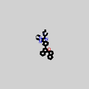 C=C/C=C\C(CC)c1nc2ccc(-c3cc4ccccc4c4c3oc3ccc5ccccc5c34)cc2c2nc3ccccn3c12